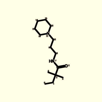 CCC(C)(C)C(=O)NCCCN1CCCCC1